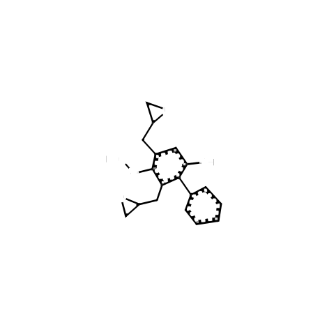 COc1c(CC2CO2)cc(C)c(-c2ccccc2)c1CC1CO1